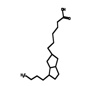 CCCCC1CCC2CC(CCCCCC(=O)O)CC12